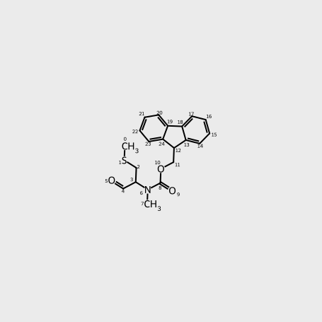 CSCC(C=O)N(C)C(=O)OCC1c2ccccc2-c2ccccc21